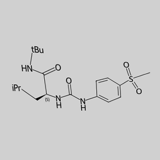 CC(C)C[C@H](NC(=O)Nc1ccc(S(C)(=O)=O)cc1)C(=O)NC(C)(C)C